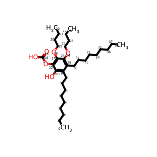 CCCCCCCCCc1c(O)c(OC(=O)O)c(OCCCC)c(OCCCC)c1CCCCCCCCC